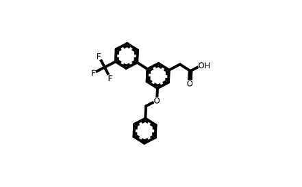 O=C(O)Cc1cc(OCc2ccccc2)cc(-c2cccc(C(F)(F)F)c2)c1